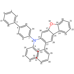 c1ccc(-c2ccc(N(c3ccccc3)c3cc4oc5ccccc5c4cc3-c3ccccc3)cc2)cc1